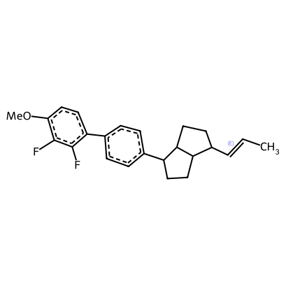 C/C=C/C1CCC2C(c3ccc(-c4ccc(OC)c(F)c4F)cc3)CCC12